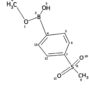 COB(O)c1ccc(S(C)(=O)=O)cc1